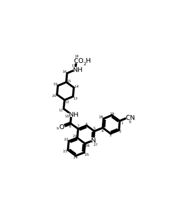 N#Cc1ccc(-c2cc(C(=O)NCC3CCC(CNC(=O)O)CC3)c3ccccc3n2)cc1